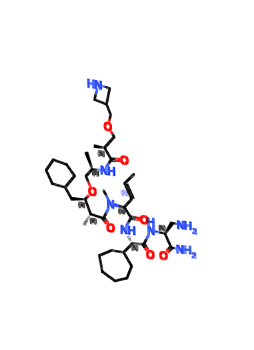 C/C=C/[C@@H](C(=O)N[C@H](C(=O)N[C@@H](CN)C(N)=O)C1CCCCCC1)N(C)C(=O)[C@H](C)[C@@H](CC1CCCCC1)OC[C@@H](C)NC(=O)[C@@H](C)COCC1CNC1